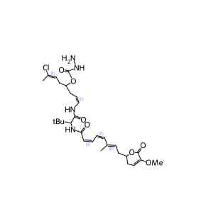 COC1=CCC(C/C=C(C)/C=C\C=C/C(=O)NC(C(=O)N/C=C\CC(C/C=C(\C)Cl)OC(=O)NN)C(C)(C)C)OC1=O